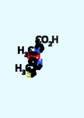 Cc1sccc1-c1ccnc2cc(O[C@H](C)C(=O)N3CCC[C@H](CC(=O)O)C3)ccc12